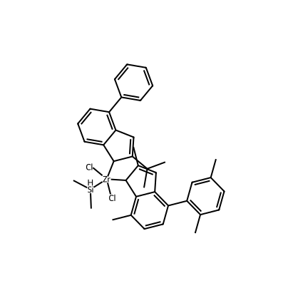 CC1=Cc2c(-c3cc(C)ccc3C)ccc(C)c2[CH]1[Zr]([Cl])([Cl])([CH]1C(C(C)C)=Cc2c(-c3ccccc3)cccc21)[SiH](C)C